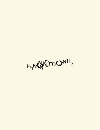 Nc1ccc(OCC2CCN(c3ncc(N)cn3)CC2)cc1